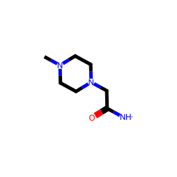 CN1CCN(CC([NH])=O)CC1